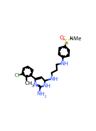 CN[S@+]([O-])c1ccc(NCCCNC2C=C(c3cccc(Cl)c3C)N=C(N)N2)cc1